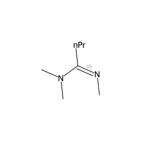 CCC/C(=N/C)N(C)C